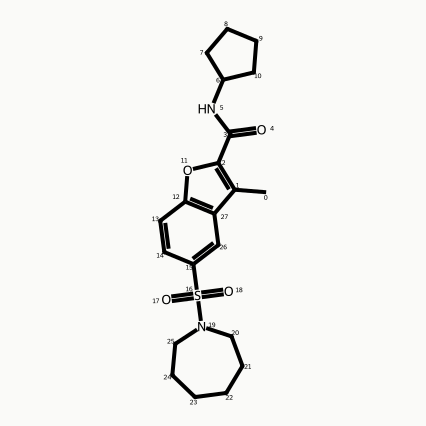 Cc1c(C(=O)NC2CCCC2)oc2ccc(S(=O)(=O)N3CCCCCC3)cc12